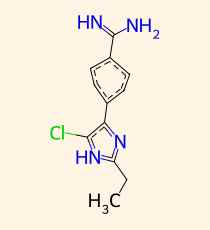 CCc1nc(-c2ccc(C(=N)N)cc2)c(Cl)[nH]1